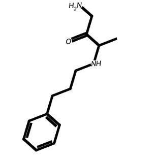 CC(NCCCc1ccccc1)C(=O)CN